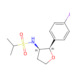 CC(C)S(=O)(=O)N[C@@H]1CCO[C@@H]1c1ccc(I)cc1